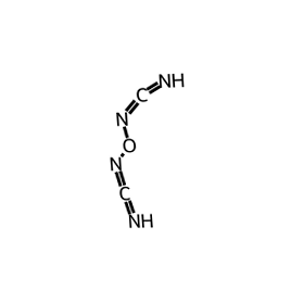 N=C=NON=C=N